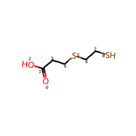 O=C(O)CCSCCS